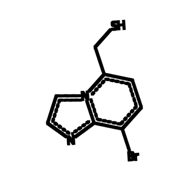 SCc1ccc(Br)c2nccn12